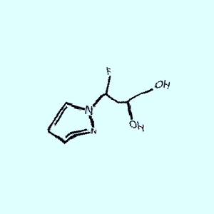 OC(O)C(F)n1cccn1